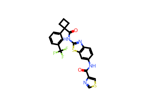 O=C(Nc1ccc2nc(NC(=O)C3(c4cccc(C(F)(F)F)c4)CCC3)sc2c1)c1cscn1